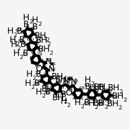 Bc1c(B)c(B)c(-c2c(B)c(B)c(-c3ccc4oc5c(-c6c(B)c(B)c(B)c(-c7c(B)c(B)c(B)c(-c8ncnc9c8oc8ccc(-c%10c(B)c(B)c(-c%11c(B)c(B)c(B)c(B)c%11B)c(B)c%10B)cc89)c7B)c6B)ncnc5c4c3)c(B)c2B)c(B)c1B